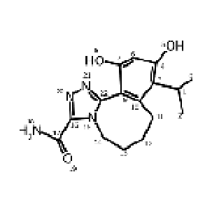 CC(C)c1c(O)cc(O)c2c1CCCCn1c(C(N)=O)nnc1-2